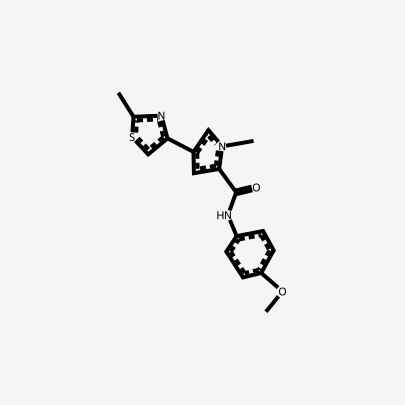 COc1ccc(NC(=O)c2cc(-c3csc(C)n3)cn2C)cc1